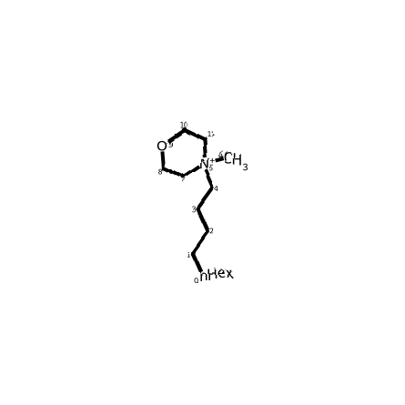 CCCCCCCCCC[N+]1(C)CCOCC1